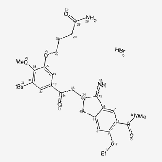 Br.CCOc1cc2c(cc1C(=O)NC)C(=N)N(CC(=O)c1cc(OCCCC(N)=O)c(OC)c(C(C)(C)C)c1)C2